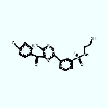 Nc1ncc(-c2cccc(S(=O)(=O)NCCO)c2)nc1C(=O)c1ccc(F)cc1